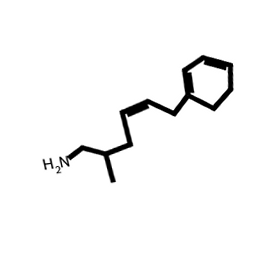 CC(CN)C/C=C\CC1=CC=CCC1